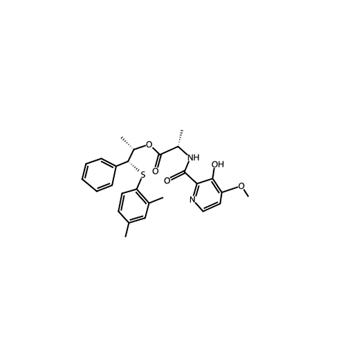 COc1ccnc(C(=O)N[C@@H](C)C(=O)O[C@@H](C)[C@H](Sc2ccc(C)cc2C)c2ccccc2)c1O